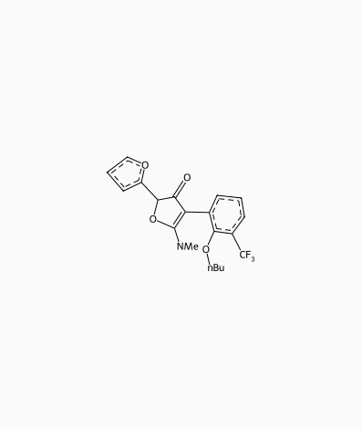 CCCCOc1c(C2=C(NC)OC(c3ccco3)C2=O)cccc1C(F)(F)F